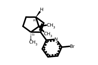 CC1(C)[C@H]2C=C(c3cccc(Br)n3)[C@@]1(C)CC2